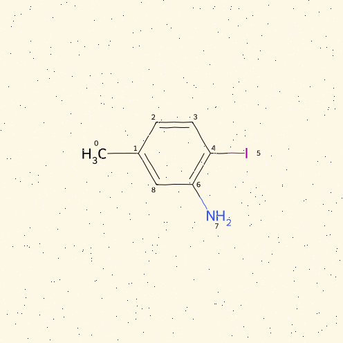 Cc1ccc(I)c(N)c1